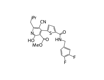 COC(=O)c1c(O)nc(CC(C)C)c(C#N)c1-c1ccc(C(=O)NCc2ccc(F)c(F)c2)s1